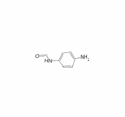 Nc1ccc(N[C]=O)cc1